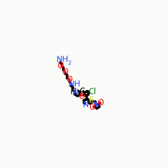 Cc1cc(Cl)cc(-c2ccnc3cc(CN4C(=O)CCC4=O)sc23)c1OC1CCN(CCCNCOCCCOCCOCCN)CC1